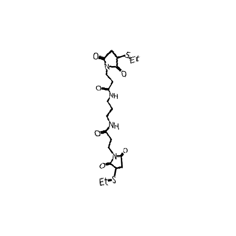 CCSC1CC(=O)N(CCC(=O)NCCCNC(=O)CCN2C(=O)CC(SCC)C2=O)C1=O